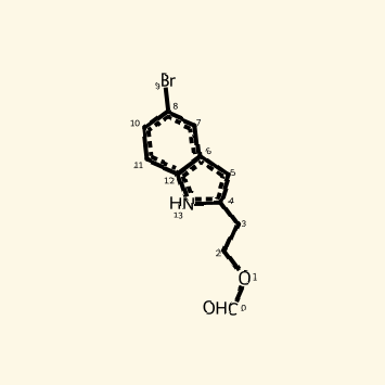 O=COCCc1cc2cc(Br)ccc2[nH]1